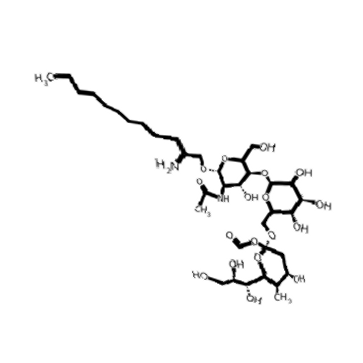 CCCCCCCCCCC(N)CO[C@@H]1OC(CO)[C@@H](O[C@@H]2OC(CO[C@]3(OC=O)C[C@@H](O)[C@@H](C)C([C@H](O)[C@H](O)CO)O3)[C@H](O)[C@H](O)C2O)[C@H](O)C1NC(C)=O